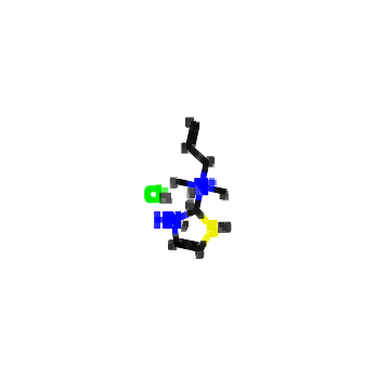 C=CC[N+](C)(C)C1NC=CS1.[Cl-]